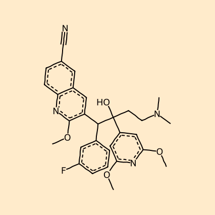 COc1cc(C(O)(CCN(C)C)C(c2cccc(F)c2)c2cc3cc(C#N)ccc3nc2OC)cc(OC)n1